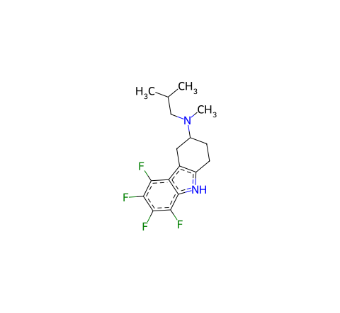 CC(C)CN(C)C1CCc2[nH]c3c(F)c(F)c(F)c(F)c3c2C1